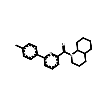 Cc1ccc(-c2cccc(C(=O)N3CCCC4CCCCC43)n2)cc1